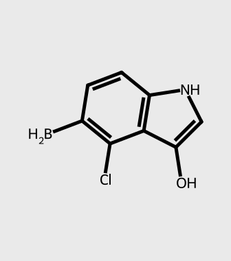 Bc1ccc2[nH]cc(O)c2c1Cl